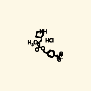 CN(C[C@H]1CCNC1)C(=O)OCc1ccc([N+](=O)[O-])cc1.Cl